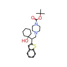 CC(C)(C)OC(=O)N1CCN(CC(c2cc3ccccc3s2)C2(O)CCCCC2)CC1